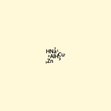 [AlH3].[Cu].[NaH].[Zn]